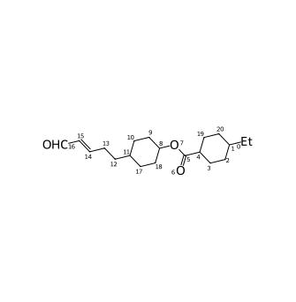 CCC1CCC(C(=O)OC2CCC(CC/C=C/C=O)CC2)CC1